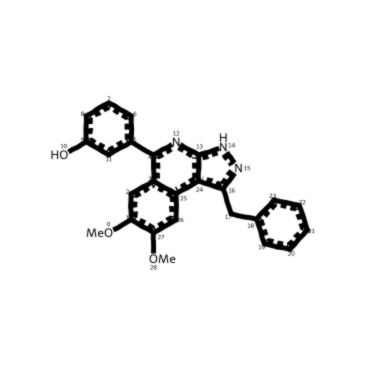 COc1cc2c(-c3cccc(O)c3)nc3[nH]nc(Cc4ccccc4)c3c2cc1OC